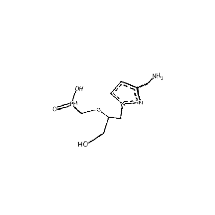 Nc1ccn(CC(CO)OC[PH](=O)O)n1